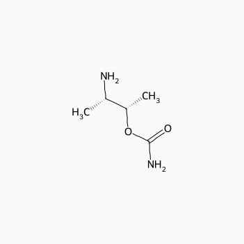 C[C@H](N)[C@H](C)OC(N)=O